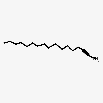 CCCCCCCCCCCCCCC#CP